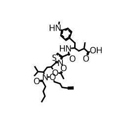 C#CCCCON(C(=O)CCCC)C(CC(OC(C)=O)c1nc(C(=O)NC(Cc2ccc(NC)cc2)CC(C)C(=O)O)cs1)C(C)C